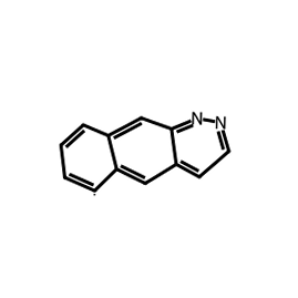 [c]1cccc2cc3nnccc3cc12